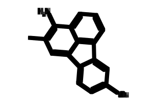 Cc1cc2c3c(cccc3c1N)-c1cc(C(C)(C)C)ccc1-2